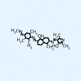 CN=Nc1cc(C)c(N=Nc2ccc3c(C)c(N=Nc4c(C)nn(C)c4O)ccc3c2O)c(C)c1C